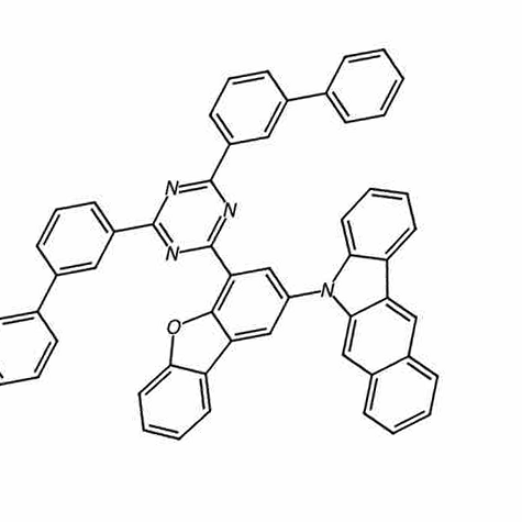 c1ccc(-c2cccc(-c3nc(-c4cccc(-c5ccccc5)c4)nc(-c4cc(-n5c6ccccc6c6cc7ccccc7cc65)cc5c4oc4ccccc45)n3)c2)cc1